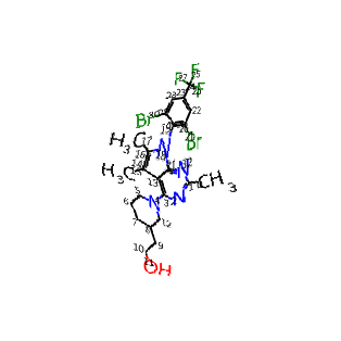 Cc1nc(N2CCCC(CCO)C2)c2c(C)c(C)n(-c3c(Br)cc(C(F)(F)F)cc3Br)c2n1